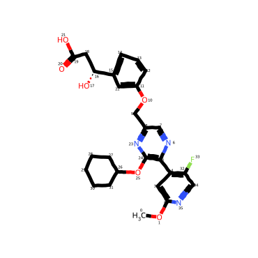 COc1cc(-c2ncc(COc3cccc([C@H](O)CC(=O)O)c3)nc2OC2CCCCC2)c(F)cn1